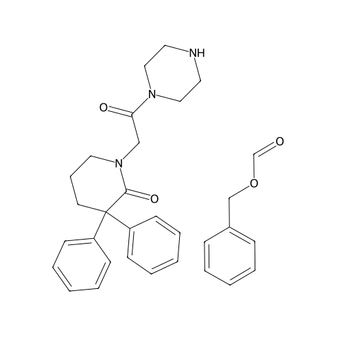 O=C(CN1CCCC(c2ccccc2)(c2ccccc2)C1=O)N1CCNCC1.O=COCc1ccccc1